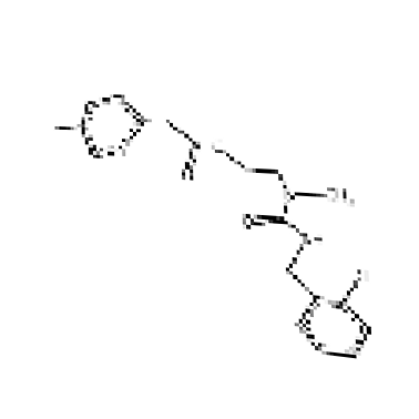 CN(CCOC(=O)Nc1ccc(F)cn1)C(=O)NCc1ccccc1Cl